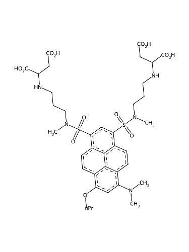 CCCOc1cc(N(C)C)c2ccc3c(S(=O)(=O)N(C)CCCNC(CC(=O)O)C(=O)O)cc(S(=O)(=O)N(C)CCCNC(CC(=O)O)C(=O)O)c4ccc1c2c43